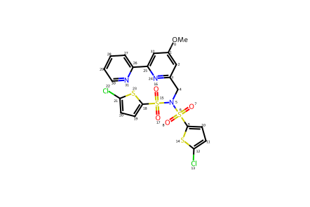 COc1cc(CN(S(=O)(=O)c2ccc(Cl)s2)S(=O)(=O)c2ccc(Cl)s2)nc(-c2ccccn2)c1